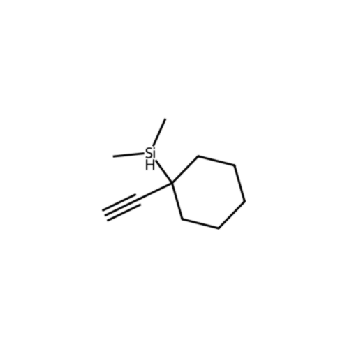 C#CC1([SiH](C)C)CCCCC1